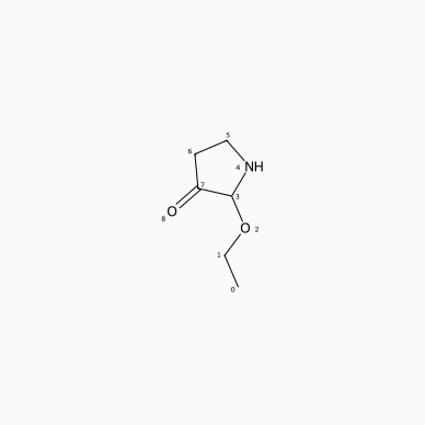 CCOC1NCCC1=O